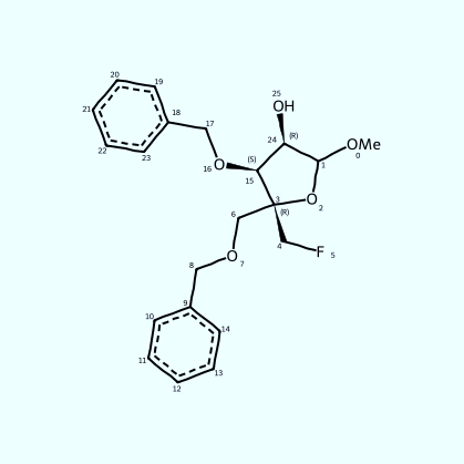 COC1O[C@](CF)(COCc2ccccc2)[C@@H](OCc2ccccc2)[C@H]1O